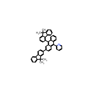 CC1(C)c2ccccc2-c2ccc(-c3ccc4c(-c5ccccn5)c5ccccc5c(-c5cccc6c5-c5ccccc5C6(C)C)c4c3)cc21